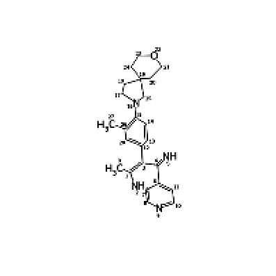 C/C(N)=C(/C(=N)c1ccncc1)c1ccc(N2CCC3(CCOCC3)C2)c(C)c1